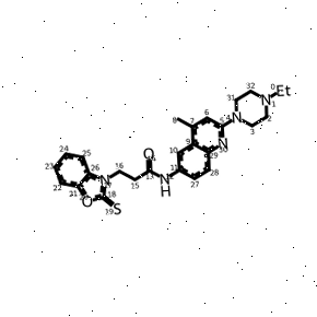 CCN1CCN(c2cc(C)c3cc(NC(=O)CCn4c(=S)oc5ccccc54)ccc3n2)CC1